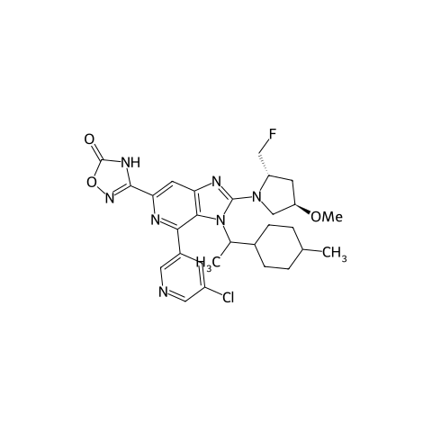 CO[C@@H]1C[C@@H](CF)N(c2nc3cc(-c4noc(=O)[nH]4)nc(-c4cncc(Cl)c4)c3n2C(C)C2CCC(C)CC2)C1